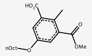 CCCCCCCCOc1cc(C(=O)O)c(C)c(C(=O)OC)c1